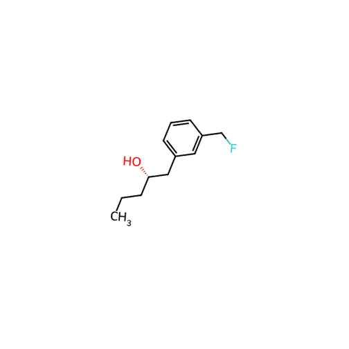 CCC[C@H](O)Cc1cccc(CF)c1